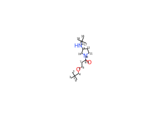 CC(C)(C)COCCC(=O)N1CC[C@@H](NC(C)(C)C)C1